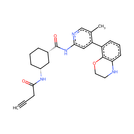 C#CCC(=O)N[C@@H]1CCC[C@H](C(=O)Nc2cc(-c3cccc4c3OCCN4)c(C)cn2)C1